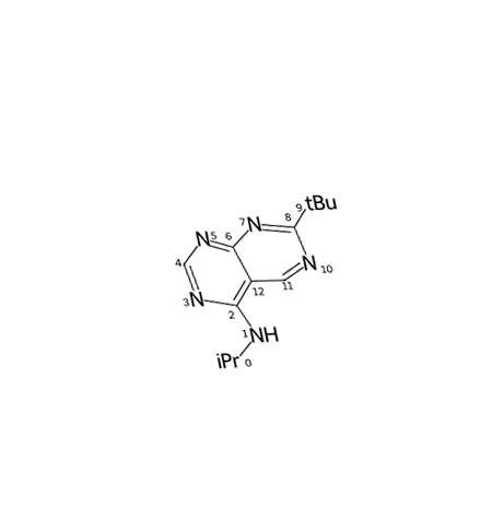 CC(C)Nc1ncnc2nc(C(C)(C)C)ncc12